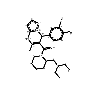 CCN(CC)CC1CCCCN1C(=O)C1=C(C)Nc2ccnn2C1c1ccc(Cl)c(Cl)c1